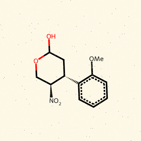 COc1ccccc1[C@H]1CC(O)OC[C@@H]1[N+](=O)[O-]